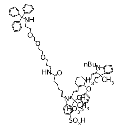 CCCCN1/C(=C/C=C2\CCCC(/C=C/C3=[N+](CCCCCC(=O)NCCCOCCOCCOCCNC(c4ccccc4)(c4ccccc4)c4ccccc4)c4ccc(S(=O)(=O)O)cc4C3(C)C)=C2Oc2ccc(S(=O)(=O)O)cc2)C(C)(C)c2ccccc21